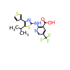 CC(C)c1sc(Nc2ncc(C(F)(F)F)cc2C(=O)O)nc1-c1ccsc1